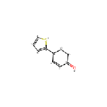 O=C1C=CC(c2cccs2)CC1